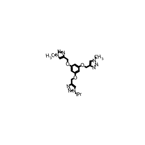 CC(C)n1cc(COc2cc(OCc3cn(C)nn3)cc(OCc3cn(C)nn3)c2)nn1